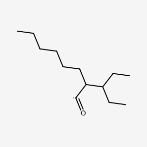 CCCCCCC([C]=O)C(CC)CC